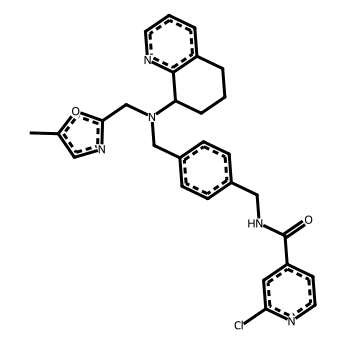 Cc1cnc(CN(Cc2ccc(CNC(=O)c3ccnc(Cl)c3)cc2)C2CCCc3cccnc32)o1